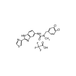 CN(Cc1ccc(Cl)c(Cl)c1)C(=O)Nc1ccc2[nH]c(-c3cscn3)nc2c1.O=C(O)C(F)(F)F